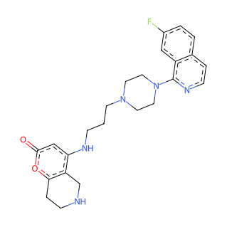 O=c1cc(NCCCN2CCN(c3nccc4ccc(F)cc34)CC2)c2c(o1)CCNC2